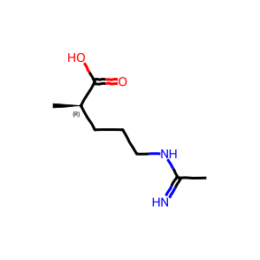 CC(=N)NCCC[C@@H](C)C(=O)O